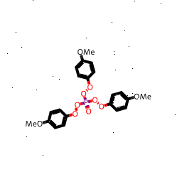 COc1ccc(OOP(=O)(OOc2ccc(OC)cc2)OOc2ccc(OC)cc2)cc1